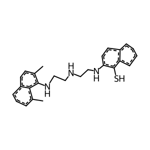 Cc1ccc2cccc(C)c2c1NCCNCCNc1ccc2ccccc2c1S